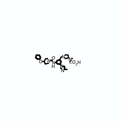 Cc1cn(-c2cc(CN3CC[C@H](N(C)C(=O)O)C3)cc(NC(=O)N3CCC(Oc4ccccc4)CC3)c2)cn1